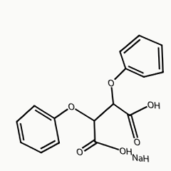 O=C(O)C(Oc1ccccc1)C(Oc1ccccc1)C(=O)O.[NaH]